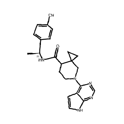 C[C@H](NC(=O)C1CCN(c2ncnc3[nH]ccc23)CC12CC2)c1ccc(C#N)cc1